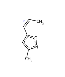 C/C=C\c1cc(C)no1